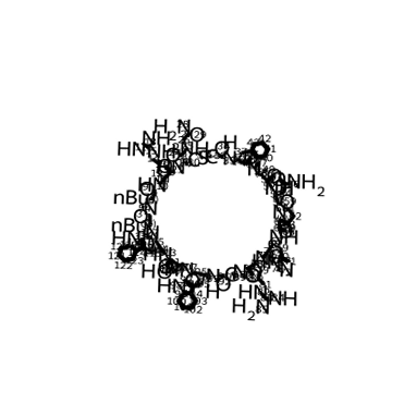 CCCC[C@H]1C(=O)N(C)[C@@H](CCCC)C(=O)N[C@@H](CCCNC(=N)N)C(=O)N[C@H](C(=O)NCC(N)=O)CSCC(=O)N[C@@H](Cc2ccccc2)C(=O)N(C)[C@@H](C)C(=O)N[C@@H](CC(N)=O)C(=O)N2CCC[C@H]2C(=O)N[C@@H](Cc2cnc[nH]2)C(=O)N[C@@H](CCCNC(=N)N)C(=O)N(C)CC(=O)N[C@@H](Cc2c[nH]c3ccccc23)C(=O)N[C@@H](CO)C(=O)N[C@@H](Cc2c[nH]c3ccccc23)C(=O)N1C